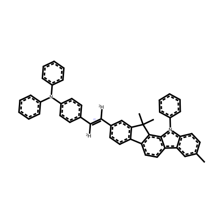 [2H]/C(=C(/[2H])c1ccc2c(c1)C(C)(C)c1c-2ccc2c3cc(C)ccc3n(-c3ccccc3)c12)c1ccc(N(c2ccccc2)c2ccccc2)cc1